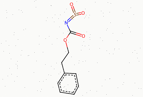 O=C(N=S(=O)=O)OCCc1ccccc1